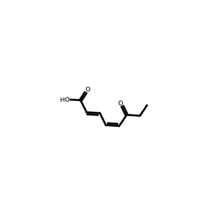 CCC(=O)/C=C\C=C\C(=O)O